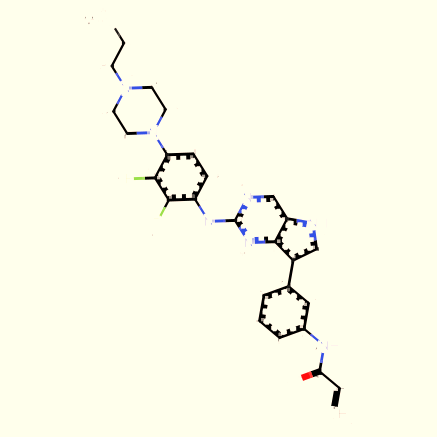 C=CC(=O)Nc1cccc(-c2c[nH]c3cnc(Nc4ccc(N5CCN(CCOC)CC5)c(F)c4F)nc23)c1